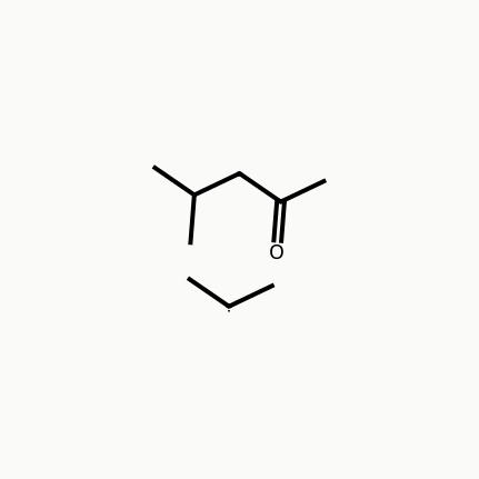 CC(=O)CC(C)C.C[CH]C